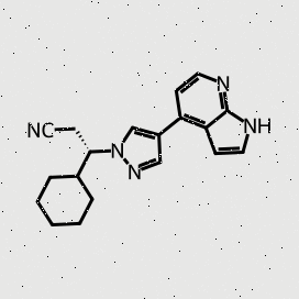 N#CC[C@@H](C1CCCCC1)n1cc(-c2ccnc3[nH]ccc23)cn1